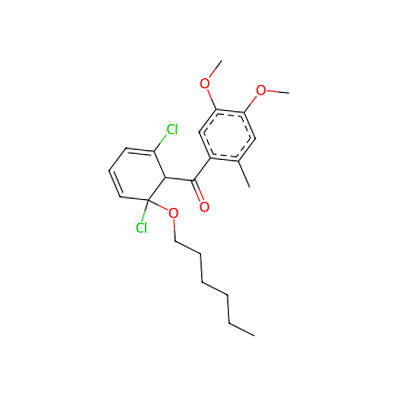 CCCCCCOC1(Cl)C=CC=C(Cl)C1C(=O)c1cc(OC)c(OC)cc1C